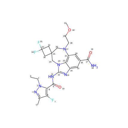 CCn1nc(C)c(F)c1C(=O)Nc1nc2cc(C(N)=O)cc3c2n1CC1(CN3CCOC)CC(F)(F)C1